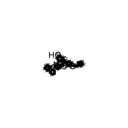 O=C(c1ccc(O[C@@H]2CCCC[C@H]2N2CCCCC2)nc1)c1c(-c2ccc(OCCN3CCCC3)cc2)sc2cc(O)ccc12